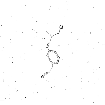 CC(CCl)Sc1cccc(C#N)c1